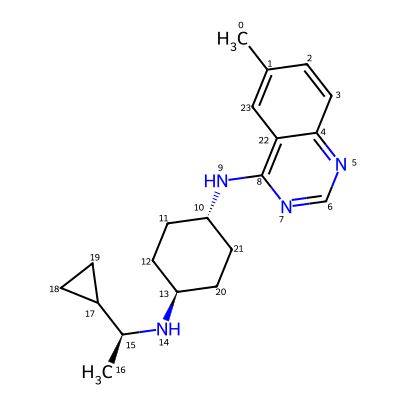 Cc1ccc2ncnc(N[C@H]3CC[C@H](N[C@@H](C)C4CC4)CC3)c2c1